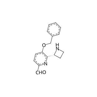 O=Cc1ccc(OCc2ccccc2)c([C@H]2CCN2)n1